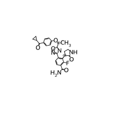 C[C@@H](Oc1ccc(C(=O)C2CC2)cc1)c1nc(-c2ccc(C(N)=O)c(F)c2[C@H]2CCNC2=O)no1